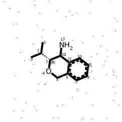 CC(C)[C@H]1OCc2ccccc2C1N